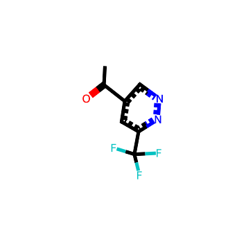 CC(=O)c1cnnc(C(F)(F)F)c1